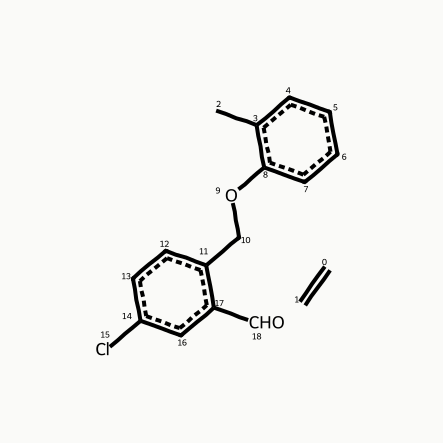 C=C.Cc1ccccc1OCc1ccc(Cl)cc1C=O